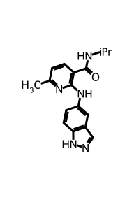 Cc1ccc(C(=O)NC(C)C)c(Nc2ccc3[nH]ncc3c2)n1